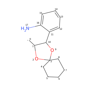 [CH2]C1OC2(CCCCC2)OC1c1ccccc1N